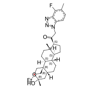 CCOC[C@]12CC[C@@](C)(O)C[C@H]1CC[C@H]1[C@@H]3CC[C@H](C(=O)Cn4nnc5c(F)c(C)ccc54)[C@@]3(C)CC[C@@H]12